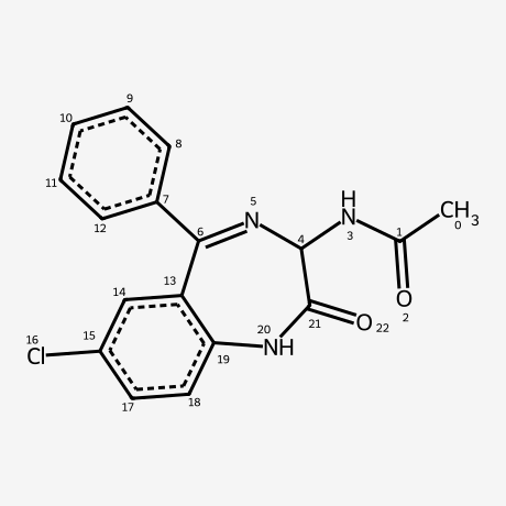 CC(=O)NC1N=C(c2ccccc2)c2cc(Cl)ccc2NC1=O